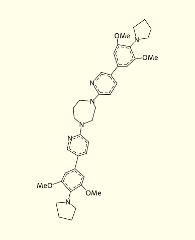 COc1cc(-c2ccc(N3CCCN(c4ccc(-c5cc(OC)c(N6CCCC6)c(OC)c5)cn4)CC3)nc2)cc(OC)c1N1CCCC1